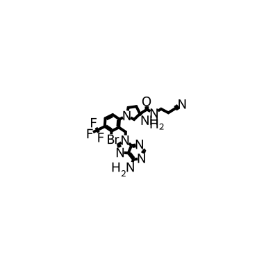 N#CCCNC(=O)C1(N)CCN(c2ccc(C(F)(F)F)c(Br)c2Cn2cnc3c(N)ncnc32)C1